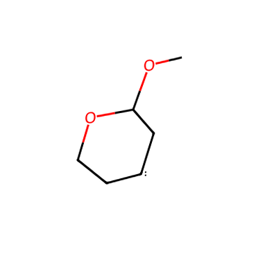 COC1C[C]CCO1